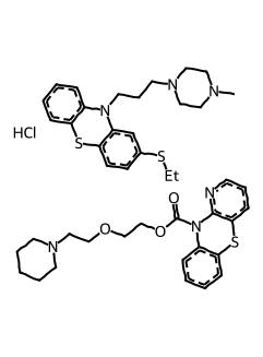 CCSc1ccc2c(c1)N(CCCN1CCN(C)CC1)c1ccccc1S2.Cl.O=C(OCCOCCN1CCCCC1)N1c2ccccc2Sc2cccnc21